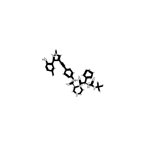 Cc1ccc(O)c(-c2nn(C)cc2C#Cc2ccc(NC(=O)[C@@H]3COCCN3C(=O)[C@H](NC(=O)OC(C)(C)C)c3ccccc3)cc2)c1